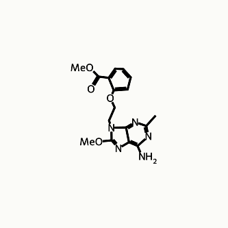 COC(=O)c1ccccc1OCCn1c(OC)nc2c(N)nc(C)nc21